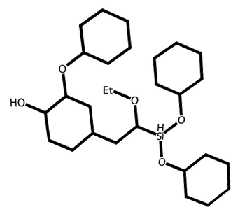 CCOC(CC1CCC(O)C(OC2CCCCC2)C1)[SiH](OC1CCCCC1)OC1CCCCC1